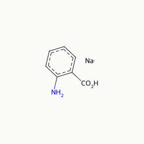 Nc1ccccc1C(=O)O.[Na]